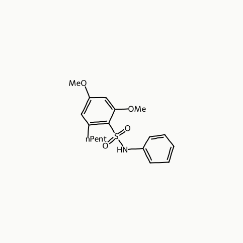 CCCCCc1cc(OC)cc(OC)c1S(=O)(=O)Nc1ccccc1